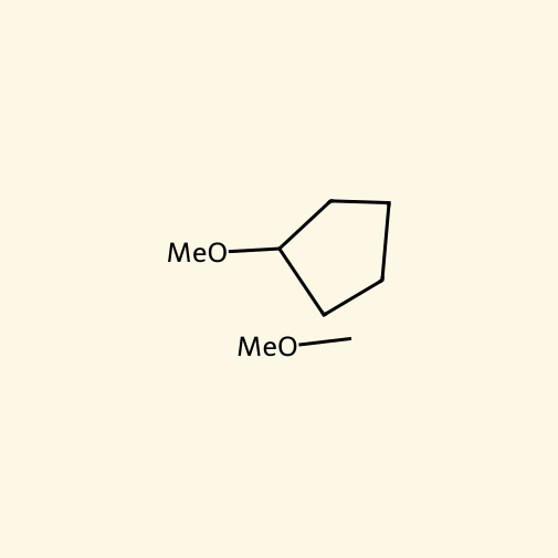 COC.COC1CCCC1